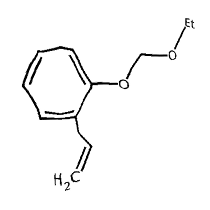 C=Cc1ccccc1OCOCC